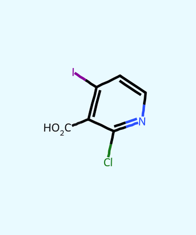 O=C(O)c1c(I)ccnc1Cl